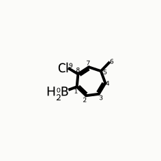 BC1=CC=CC(C)C=C1Cl